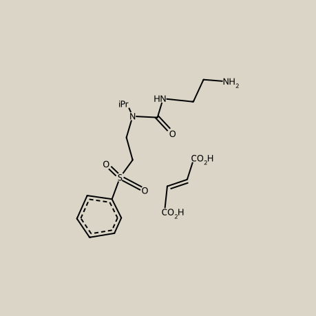 CC(C)N(CCS(=O)(=O)c1ccccc1)C(=O)NCCN.O=C(O)C=CC(=O)O